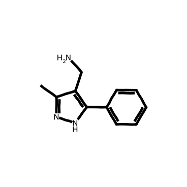 Cc1n[nH]c(-c2ccccc2)c1CN